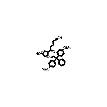 C#CCCCC(=O)C1C[C@H](O)C[C@H]1CCC(c1ccccc1)(c1ccc(OC)cc1)c1ccc(OC)cc1